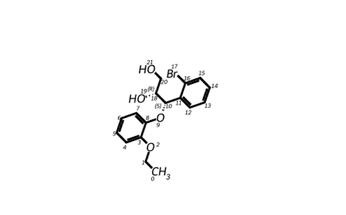 CCOc1ccccc1O[C@@H](c1ccccc1Br)[C@H](O)CO